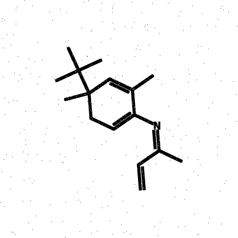 C=C/C(C)=N\C1=CCC(C)(C(C)(C)C)C=C1C